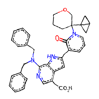 O=C(O)c1cnc(N(Cc2ccccc2)Cc2ccccc2)c2[nH]c(-c3cccn(C4(C56CC5C6)CCCOC4)c3=O)cc12